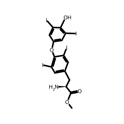 COC(=O)[C@@H](N)Cc1cc(I)c(Oc2cc(I)c(O)c(I)c2)c(I)c1